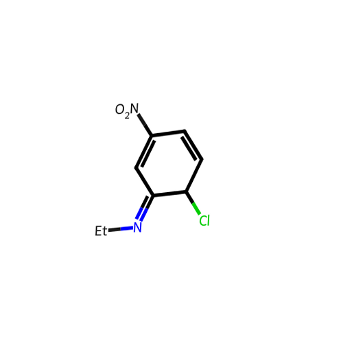 CCN=C1C=C([N+](=O)[O-])C=CC1Cl